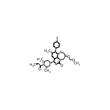 C=CC(=O)N1[C@H](C)CN(c2nc(=O)n3c4c(c(-c5ccc(F)cc5)c(C)cc24)SC[C@@H](OCOC)C3)C[C@@H]1C